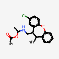 CCCC1c2ccccc2Oc2ccc(Cl)cc2C1CNC(C)OC(=O)C(C)C